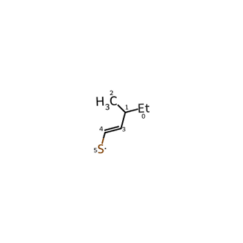 CCC(C)C=C[S]